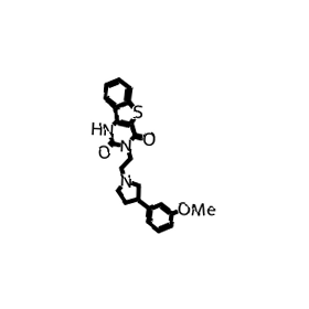 COc1cccc(C2CCN(CCn3c(=O)[nH]c4c(sc5ccccc54)c3=O)C2)c1